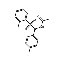 CC(=O)NN(c1ccc(F)cc1)S(=O)(=O)c1ccccc1C